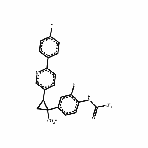 CCOC(=O)C1(c2ccc(NC(=O)C(F)(F)F)c(F)c2)CC1c1ccc(-c2ccc(F)cc2)nc1